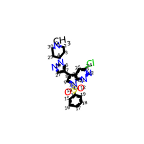 CN1CCC(n2cc(-c3cn(S(=O)(=O)c4ccccc4)c4nnc(Cl)cc34)cn2)CC1